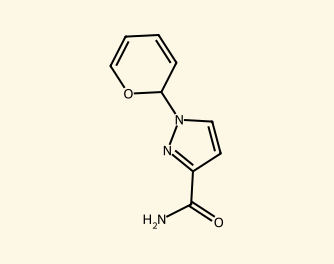 NC(=O)c1ccn(C2C=CC=CO2)n1